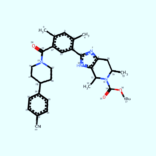 Cc1cc(C)c(-c2nc3c([nH]2)C(C)N(C(=O)OC(C)(C)C)C(C)C3)cc1C(=O)N1CCC(c2ccc(C#N)cc2)CC1